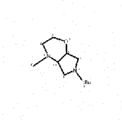 CN1CCOC2CN(C(C)(C)C)CC21